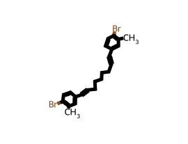 Cc1cc(C#CCCCCCC#Cc2ccc(Br)c(C)c2)ccc1Br